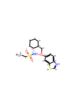 CCS(=O)(=O)N[C@@H]1CCCC[C@H]1COc1ccc2ncsc2c1